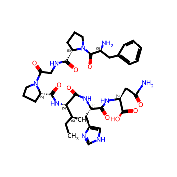 CC[C@H](C)[C@H](NC(=O)[C@@H]1CCCN1C(=O)CNC(=O)[C@@H]1CCCN1C(=O)[C@@H](N)Cc1ccccc1)C(=O)N[C@@H](Cc1c[nH]cn1)C(=O)N[C@@H](CC(N)=O)C(=O)O